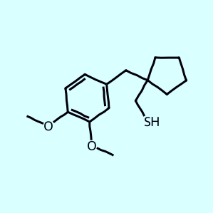 COc1ccc(CC2(CS)CCCC2)cc1OC